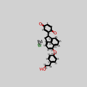 O=C1C=CC(=O)C(C2Cc3ccc(Oc4ccc(CCO)cc4)c4cccc2c34)=C1.[Br][Pd]